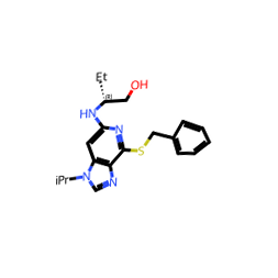 CC[C@H](CO)Nc1cc2c(ncn2C(C)C)c(SCc2ccccc2)n1